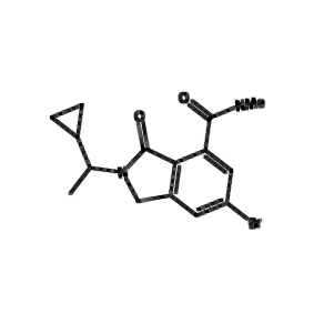 CNC(=O)c1cc(Br)cc2c1C(=O)N(C(C)C1CC1)C2